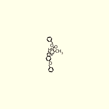 C[C@@H](Cn1ncc2ccc(OCc3ccccc3)cc21)NC(=O)OCc1ccccc1